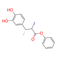 C[C@H](c1ccc(O)c(O)c1)C(I)C(=O)Oc1ccccc1